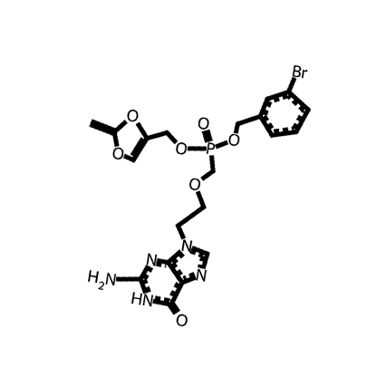 C=C1OC=C(COP(=O)(COCCn2cnc3c(=O)[nH]c(N)nc32)OCc2cccc(Br)c2)O1